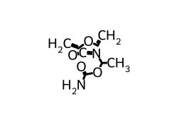 C=COC=C.CC(N=C=O)OC(N)=O